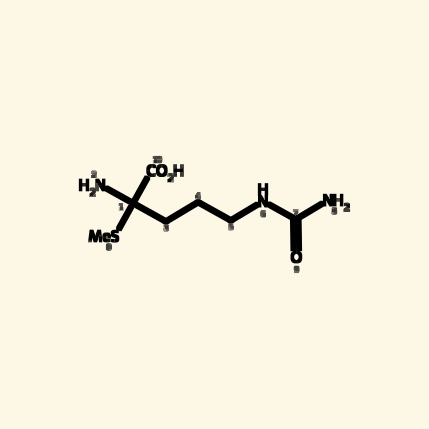 CSC(N)(CCCNC(N)=O)C(=O)O